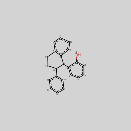 Oc1ccccc1C1c2ccccc2CCC1c1ccccc1